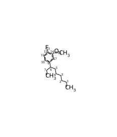 CCCCCCC(CC)c1ccc(F)c(OC)c1